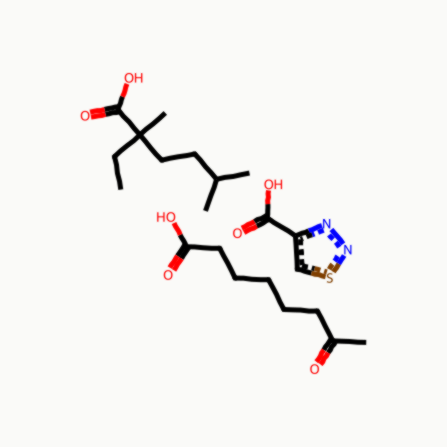 CC(=O)CCCCCC(=O)O.CCC(C)(CCC(C)C)C(=O)O.O=C(O)c1csnn1